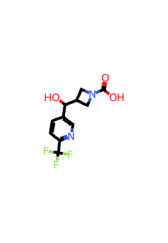 O=C(O)N1CC(C(O)c2ccc(C(F)(F)F)nc2)C1